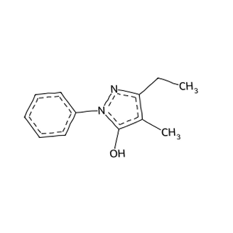 CCc1nn(-c2ccccc2)c(O)c1C